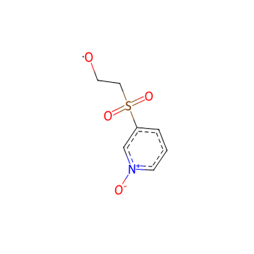 [O]CCS(=O)(=O)c1ccc[n+]([O-])c1